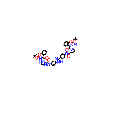 CC(C)(C)OC(=O)N[C@@H](C(=O)N1CCC[C@H]1C(=O)Nc1ccc(-c2nc3cc(NC(=O)[C@@H]4CCCN4C(=O)[C@H](NC(=O)OC(C)(C)C)c4ccccc4)ccc3[nH]2)cc1)c1ccccc1